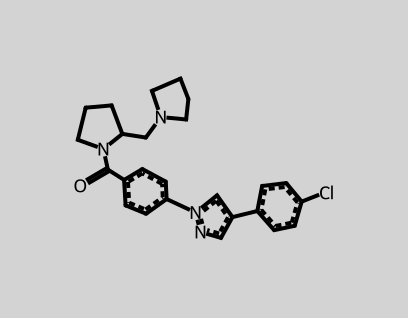 O=C(c1ccc(-n2cc(-c3ccc(Cl)cc3)cn2)cc1)N1CCCC1CN1CCCC1